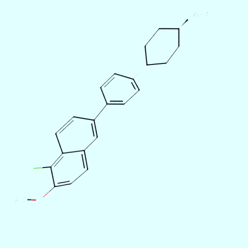 CCCCC[C@H]1CC[C@H](c2ccc(-c3ccc4c(F)c(OC(F)(F)F)ccc4c3)cc2)CC1